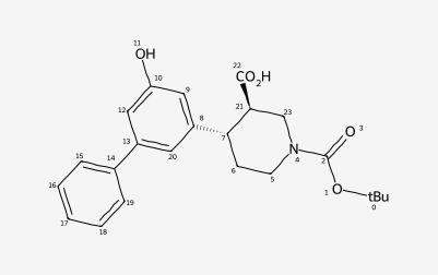 CC(C)(C)OC(=O)N1CC[C@H](c2cc(O)cc(-c3ccccc3)c2)[C@@H](C(=O)O)C1